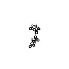 CC1(C)c2ccccc2-c2cc3c4cc(-c5ccc6c(c5)c5ccccc5n6-c5nccc(-c6cccc7c6sc6ccccc67)n5)ccc4n(-c4ccccc4)c3cc21